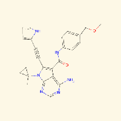 COCc1ccc(NC(=O)c2c(C#Cc3ccc[nH]3)n(C3(C)CC3)c3ncnc(N)c23)cc1